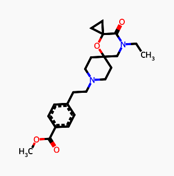 CCN1CC2(CCN(CCc3ccc(C(=O)OC)cc3)CC2)OC2(CC2)C1=O